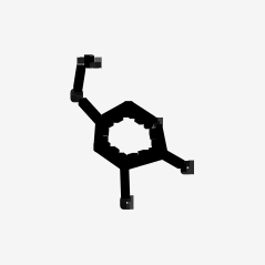 CCCCOc1cnc(Cl)c(Cl)c1